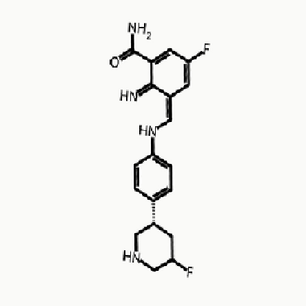 N=C1C(C(N)=O)=CC(F)=C/C1=C/Nc1ccc([C@H]2CNCC(F)C2)cc1